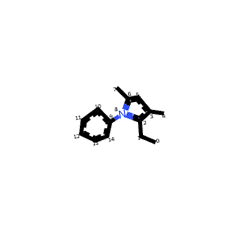 CCc1c(C)cc(C)n1-c1ccccc1